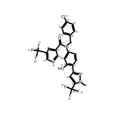 Cn1nc(-c2ccc(N(Cc3ccc(Cl)cc3)C(=O)c3cncc(C(F)(F)F)c3)cc2O)cc1C(F)(F)F